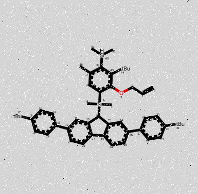 C=CCOc1c([Si](C)(C)C2c3cc(-c4ccc(C(C)(C)C)cc4)ccc3-c3ccc(-c4ccc(C(C)(C)C)cc4)cc32)cc(C)c([SiH](C)C)c1C(C)(C)C